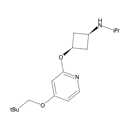 CC(C)N[C@H]1C[C@@H](Oc2cc(OCC(C)(C)C)ccn2)C1